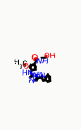 COc1cc(C(=O)NCCO)ccc1Nc1cncc(-c2cc3ccccc3[nH]2)n1